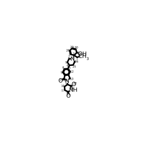 CCC1(N2CCC(c3ccc4c(c3)CN(C3CCC(=O)NC3=O)C4=O)CC2)C=CC=CC1O